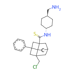 NC[C@H]1CC[C@H](NC(=S)C23CC4CC5(CCl)CC(c6ccccc6)(C2)C53C4)CC1